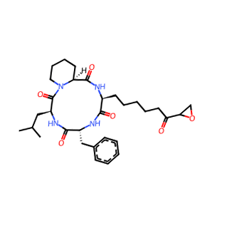 CC(C)C[C@@H]1NC(=O)[C@@H](Cc2ccccc2)NC(=O)[C@H](CCCCCC(=O)C2CO2)NC(=O)[C@@H]2CCCCN2C1=O